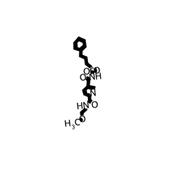 COCCNC(=O)c1ccc(C(=O)NS(=O)(=O)CCCCc2ccccc2)cn1